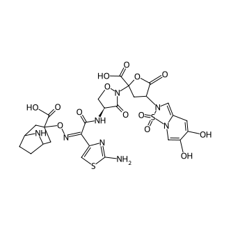 Nc1nc(/C(=N/OC2(C(=O)O)CC3CCC(C2)N3)C(=O)N[C@H]2CON(C3(C(=O)O)CC(N4C=C5C=C(O)C(O)=CN5S4(=O)=O)C(=O)O3)C2=O)cs1